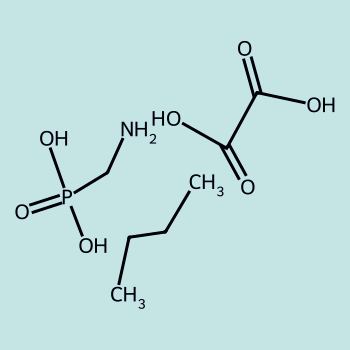 CCCC.NCP(=O)(O)O.O=C(O)C(=O)O